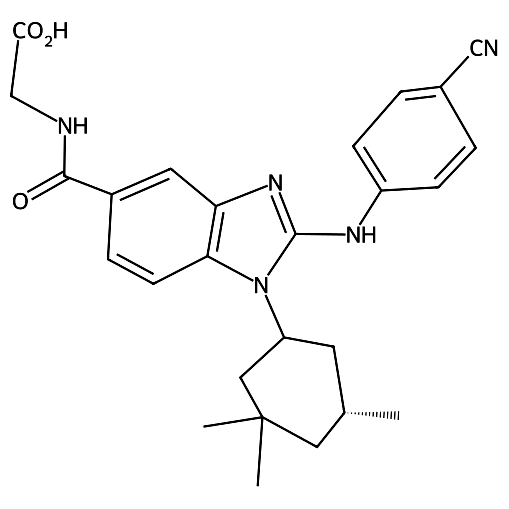 C[C@H]1CC(n2c(Nc3ccc(C#N)cc3)nc3cc(C(=O)NCC(=O)O)ccc32)CC(C)(C)C1